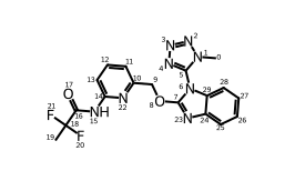 Cn1nnnc1-n1c(OCc2cccc(NC(=O)C(C)(F)F)n2)nc2ccccc21